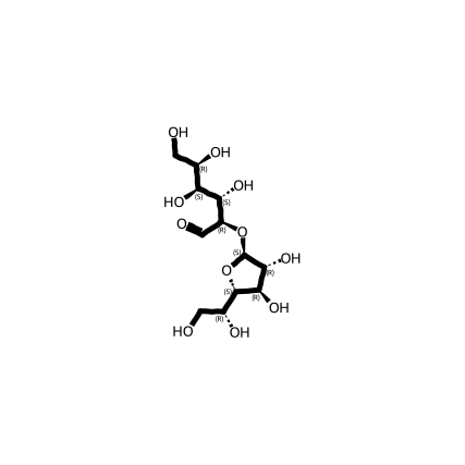 O=C[C@H](O[C@@H]1O[C@@H]([C@H](O)CO)[C@H](O)[C@H]1O)[C@@H](O)[C@@H](O)[C@H](O)CO